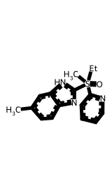 CCS(C)(=O)(c1ccccn1)c1nc2ccc(C)cc2[nH]1